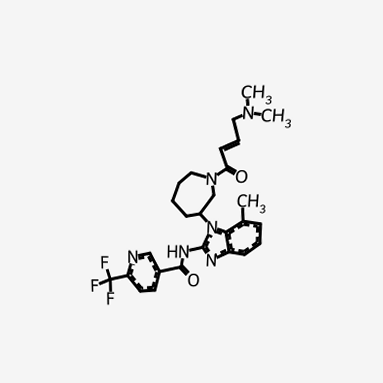 Cc1cccc2nc(NC(=O)c3ccc(C(F)(F)F)nc3)n(C3CCCCN(C(=O)/C=C/CN(C)C)C3)c12